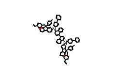 C=CC1=CCC(CC2(c3ccc(C)cc3)c3ccccc3-c3ccc(N(c4ccc(-c5ccccc5)cc4)C4CC=C(c5ccc(N(c6ccc(C7=CC=CCC7)cc6)c6ccc7c(c6)C(CC6=CC=C(C=C)CC6)(c6ccc(C)cc6)c6ccccc6-7)c6ccccc56)c5ccccc54)cc32)C=C1